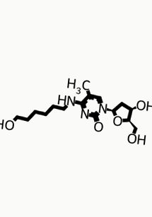 Cc1cn([C@H]2C[C@@H](O)[C@@H](CO)O2)c(=O)nc1NCCCCCCO